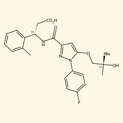 Cc1ccccc1[C@H](CC(=O)O)NC(=O)c1cc(OC[C@@](C)(O)C(C)(C)C)n(-c2ccc(F)cc2)n1